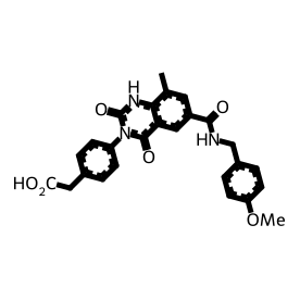 COc1ccc(CNC(=O)c2cc(C)c3[nH]c(=O)n(-c4ccc(CC(=O)O)cc4)c(=O)c3c2)cc1